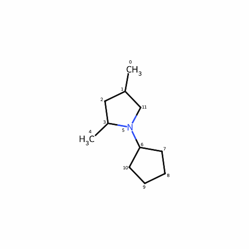 CC1CC(C)N(C2CCCC2)C1